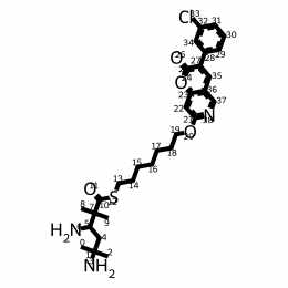 CC(C)(N)CC(N)C(C)(C)C(=O)SCCCCCCCOc1cc2oc(=O)c(-c3cccc(Cl)c3)cc2cn1